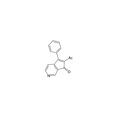 CC(=O)C1=C(c2ccccc2)c2ccncc2C1=O